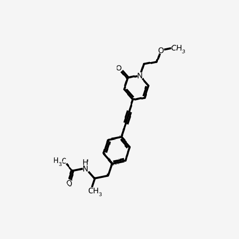 COCCn1ccc(C#Cc2ccc(CC(C)NC(C)=O)cc2)cc1=O